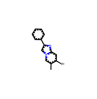 Cc1cn2cc(-c3ccccc3)nc2cc1C(C)C